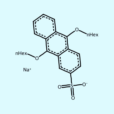 CCCCCCOc1c2ccccc2c(OCCCCCC)c2cc(S(=O)(=O)[O-])ccc12.[Na+]